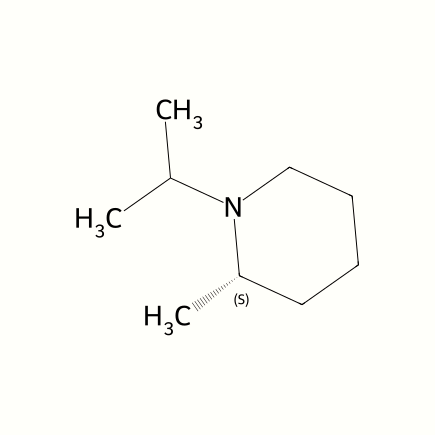 CC(C)N1CCCC[C@@H]1C